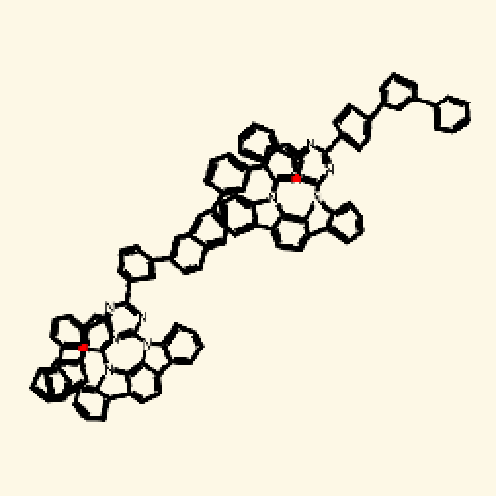 c1ccc(-c2cccc(-c3ccc(-c4nc(-c5ccccc5)nc(-n5c6ccccc6c6ccc7c8ccccc8n(-c8ccccc8-c8cccc(-c9ccc%10ccc(-c%11cccc(-c%12nc(-c%13cccc(-c%14ccccc%14)c%13)nc(-n%13c%14ccccc%14c%14ccc%15c%16ccccc%16n(-c%16ccccc%16-c%16ccccc%16)c%15c%14%13)n%12)c%11)cc%10c9)c8)c7c65)n4)cc3)c2)cc1